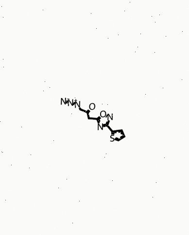 [N-]=[N+]=NCC(=O)Cc1nc(-c2cccs2)no1